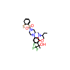 CCC1COCCN1C[C@H]1CN(S(=O)(=O)C2=CC=CCC2=S)CCN1c1ccc(C(C)(O)C(F)(F)F)cc1